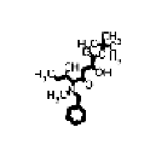 CC[C@H](C)[C@@H](C(=O)CC(O)C(=O)OC(C)(C)C)N(C)Cc1ccccc1